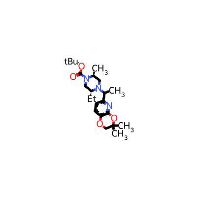 CC[C@@H]1CN(C(=O)OC(C)(C)C)[C@@H](C)CN1C(C)c1ccc2c(n1)OC(C)(C)CO2